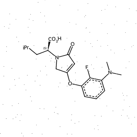 CC(C)C[C@@H](C(=O)O)N1CC(Oc2cccc(N(C)C)c2F)=CC1=O